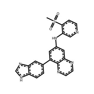 CS(=O)(=O)c1ccncc1Nc1cc(-c2ccc3[nH]cnc3c2)c2nccnc2c1